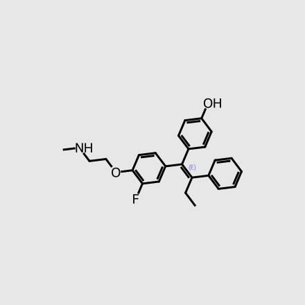 CC/C(=C(/c1ccc(O)cc1)c1ccc(OCCNC)c(F)c1)c1ccccc1